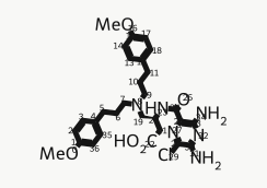 COc1ccc(CCCN(CCCc2ccc(OC)cc2)C[C@H](CC(=O)O)NC(=O)c2nc(Cl)c(N)nc2N)cc1